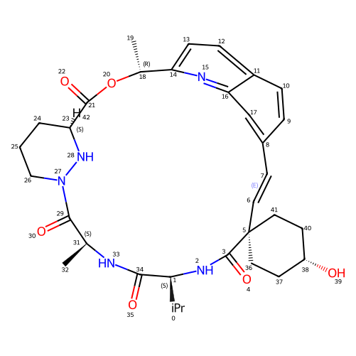 CC(C)[C@@H]1NC(=O)[C@]2(/C=C/c3ccc4ccc(nc4c3)[C@@H](C)OC(=O)[C@@H]3CCCN(N3)C(=O)[C@H](C)NC1=O)CC[C@@H](O)CC2